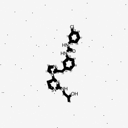 CC(O)CNc1nccc(-n2ccnc2Cc2cccc(NC(=O)Nc3cccc(Cl)c3)c2)n1